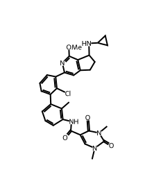 COc1nc(-c2cccc(-c3cccc(NC(=O)c4cn(C)c(=O)n(C)c4=O)c3C)c2Cl)cc2c1C(NC1CC1)CC2